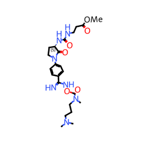 COC(=O)CCNC(=O)N[C@H]1CCN(c2ccc(C(=N)NOC(=O)N(C)CCCN(C)C)cc2)C1=O